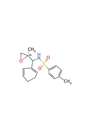 Cc1ccc(S(=O)(=O)NC(C2=CCCC=C2)[C@]2(C)CO2)cc1